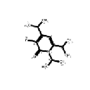 CC(C)c1cc(C(C)C)n(C(C)C)c(=O)c1Cl